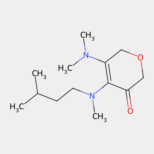 CC(C)CCN(C)C1=C(N(C)C)COCC1=O